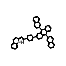 c1ccc2cc(-c3c4ccccc4c(-c4ccc5ccccc5c4)c4cc(-c5ccc(-c6cc7ccc8ccccc8n7n6)cc5)ccc34)ccc2c1